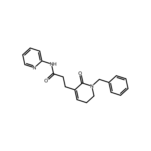 O=C(CCC1=CCCN(Cc2ccccc2)C1=O)Nc1ccccn1